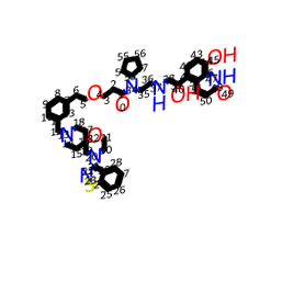 O=C(CCOCCc1cccc(CN2CCC3(CC2)CN(c2nsc4ccccc24)CCO3)c1)N(CCNCC(O)c1ccc(O)c2[nH]c(=O)ccc12)C1CCCC1